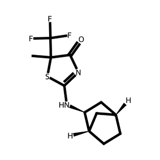 CC1(C(F)(F)F)SC(N[C@H]2C[C@@H]3CC[C@H]2C3)=NC1=O